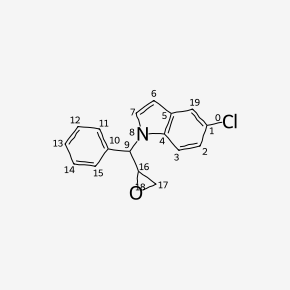 Clc1ccc2c(ccn2C(c2ccccc2)C2CO2)c1